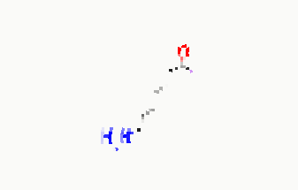 NCCCCCCC(=O)I